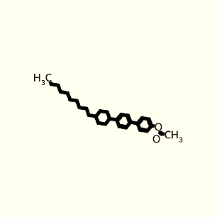 CCCCCCCCCCC1CCC(c2ccc(-c3ccc(OC(C)=O)cc3)cc2)CC1